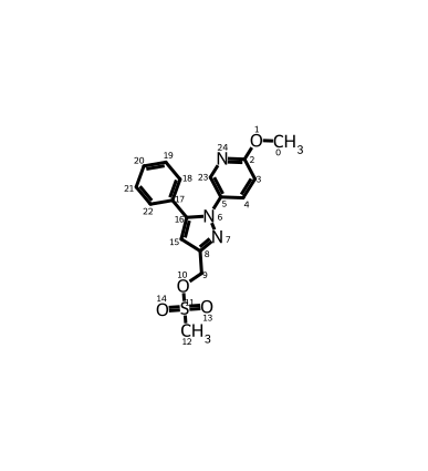 COc1ccc(-n2nc(COS(C)(=O)=O)cc2-c2ccccc2)cn1